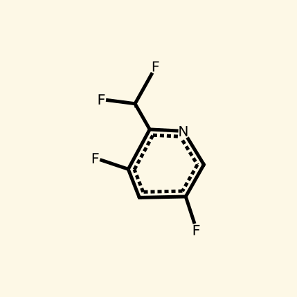 F[C](F)c1ncc(F)cc1F